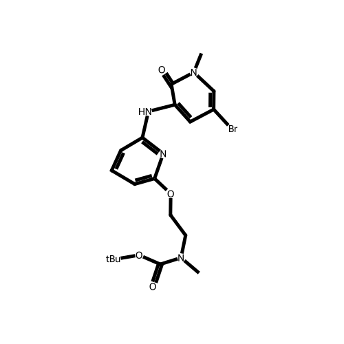 CN(CCOc1cccc(Nc2cc(Br)cn(C)c2=O)n1)C(=O)OC(C)(C)C